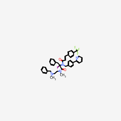 CN(CCN(C)C(=O)C(I)(Cc1ccccc1)N(Cc1ccc(-c2ccccn2)cc1)C(=O)C=Cc1ccc(C(F)(F)F)cc1)Cc1ccccc1